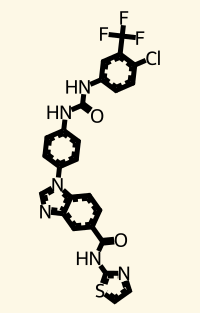 O=C(Nc1ccc(-n2cnc3cc(C(=O)Nc4nccs4)ccc32)cc1)Nc1ccc(Cl)c(C(F)(F)F)c1